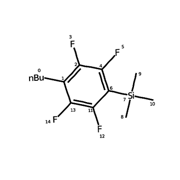 CCCCc1c(F)c(F)c([Si](C)(C)C)c(F)c1F